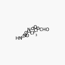 O=Cc1ccc(Oc2ccc(-c3ncc(OC(=O)N4CCC5(CC4)CNC5)cc3C(F)(F)F)cc2Cl)cc1